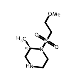 COCCS(=O)(=O)N1CCNC[C@H]1C